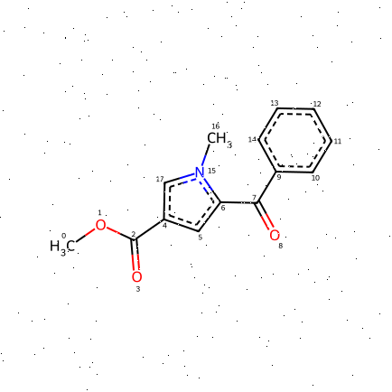 COC(=O)c1cc(C(=O)c2ccccc2)n(C)c1